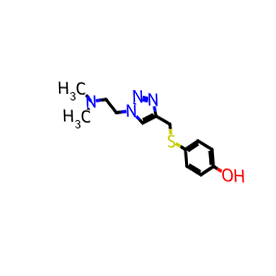 CN(C)CCn1cc(CSc2ccc(O)cc2)nn1